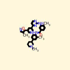 Cc1ccc(C(=O)Nc2ccc(C3CCCN(C)C3)cc2C(F)(F)F)cc1Nc1nccc(-c2cncc(-c3oncc3C)c2)n1